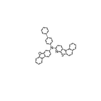 c1ccc(-c2ccc(N(c3ccc4c(c3)oc3ccccc34)c3ccc4c(n3)sc3ccc5ccccc5c34)cc2)cc1